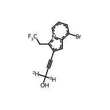 [2H]C([2H])(O)C#Cc1cc2c(Br)cccn2c1CC(F)(F)F